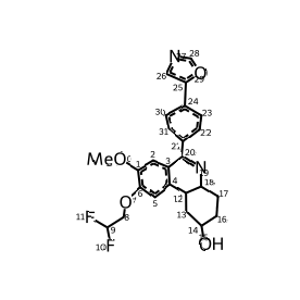 COc1cc2c(cc1OCC(F)F)C1CC(O)CCC1N=C2c1ccc(-c2cnco2)cc1